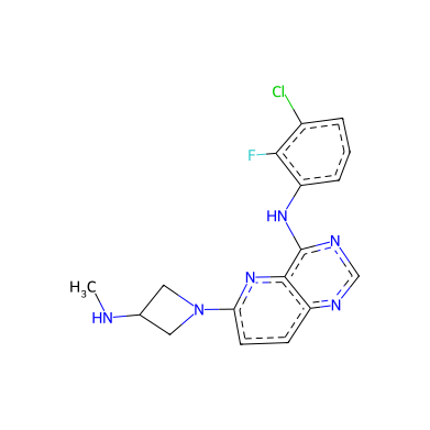 CNC1CN(c2ccc3ncnc(Nc4cccc(Cl)c4F)c3n2)C1